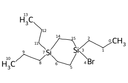 CCC[Si]1(Br)CC[Si](CCC)(CCC)CC1